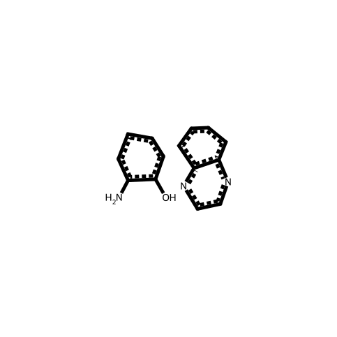 Nc1ccccc1O.c1ccc2nccnc2c1